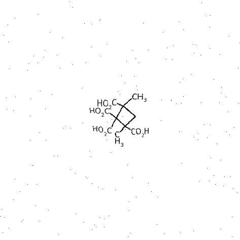 CC1(C(=O)O)CC(C)(C(=O)O)C1(C(=O)O)C(=O)O